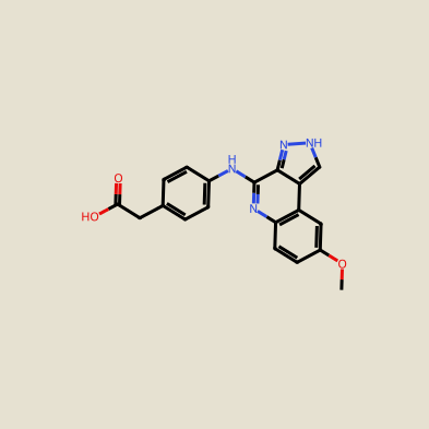 COc1ccc2nc(Nc3ccc(CC(=O)O)cc3)c3n[nH]cc3c2c1